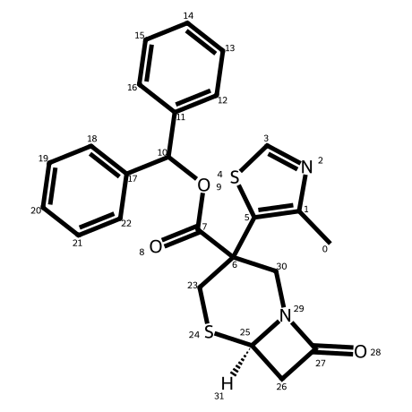 Cc1ncsc1C1(C(=O)OC(c2ccccc2)c2ccccc2)CS[C@@H]2CC(=O)N2C1